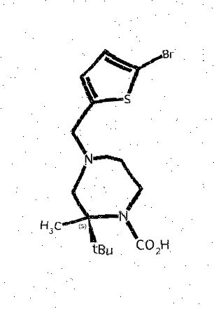 CC(C)(C)[C@@]1(C)CN(Cc2ccc(Br)s2)CCN1C(=O)O